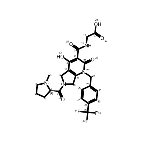 CN1CCC[C@@H]1C(=O)N1Cc2c(O)c(C(=O)NCC(=O)O)c(=O)n(Cc3ccc(C(F)(F)F)cc3)c2C1